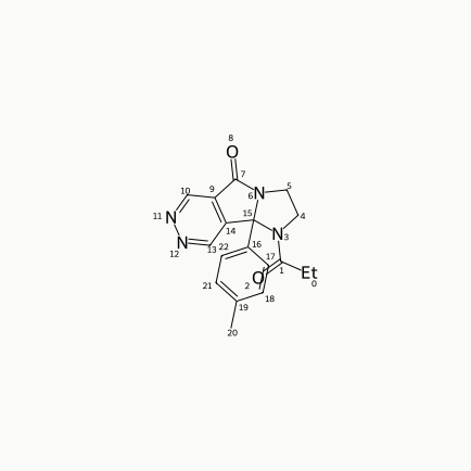 CCC(=O)N1CCN2C(=O)c3cnncc3C12c1ccc(C)cc1